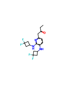 CCC(=O)Cc1ccc(NC2CC(F)(F)C2)c(NC2CC(F)(F)C2)n1